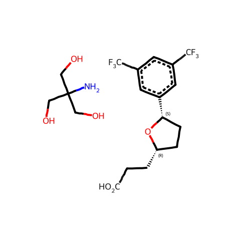 NC(CO)(CO)CO.O=C(O)CC[C@H]1CC[C@@H](c2cc(C(F)(F)F)cc(C(F)(F)F)c2)O1